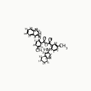 Cc1ccc(Nc2cnc3c(c2)CCCC3)c(C(=O)OC(=O)c2cc(C)ccc2Nc2cnc3ccccc3c2)c1